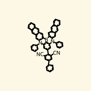 N#Cc1cc(-c2ccccc2)cc(C#N)c1-c1cc2c3c(c1)N(c1ccccc1)c1cc4cc5ccccc5cc4cc1B3c1cc3cc4ccccc4cc3cc1N2c1ccccc1